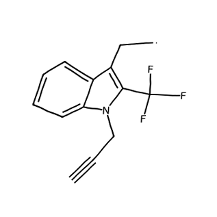 C#CCn1c(C(F)(F)F)c(C[CH2])c2ccccc21